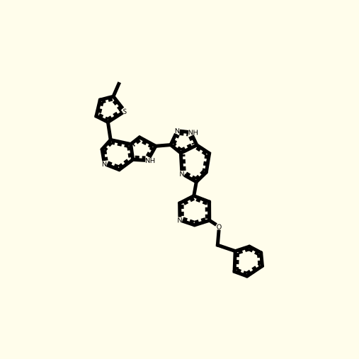 Cc1ccc(-c2cncc3[nH]c(-c4n[nH]c5ccc(-c6cncc(OCc7ccccc7)c6)nc45)cc23)s1